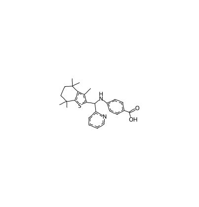 Cc1c(C(Nc2ccc(C(=O)O)cc2)c2ccccn2)sc2c1C(C)(C)CCC2(C)C